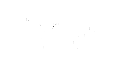 CN(CCC[C@H](N)C(=O)Nc1nccs1)N=N[N+](=O)[O-].Cl